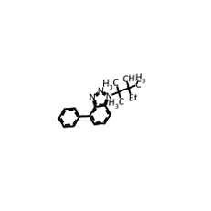 CCC(C)(C)C(C)(C)n1nnc2c(-c3ccccc3)cccc21